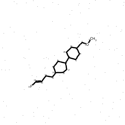 COCC1CCC(C2CCC(CC/C=C/F)CC2)CC1